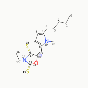 CCCCCc1ccc(/C=C2/OC(=S)N(CC)C2=S)n1C